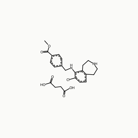 COC(=O)c1ccc(CNc2c(Cl)ccc3c2CCNCC3)cc1.O=C(O)CCC(=O)O